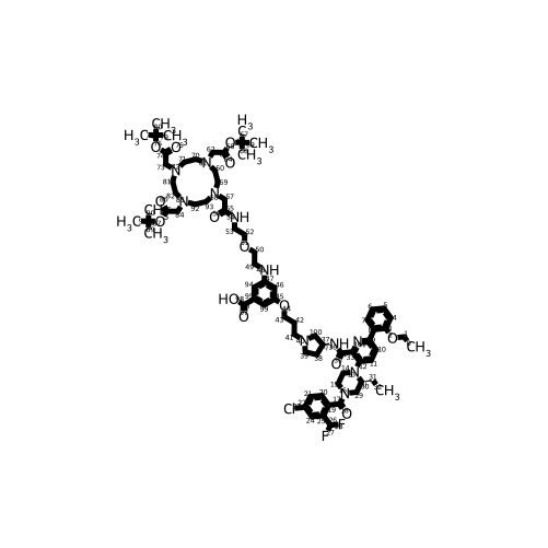 CCOc1ccccc1-c1ccc(N2CCN(C(=O)c3ccc(Cl)cc3C(F)F)C[C@H]2CC)c(C(=O)N[C@@H]2CCN(CCCOc3cc(NCCOCCNC(=O)CN4CCN(CC(=O)OC(C)(C)C)CCN(CC(=O)OC(C)(C)C)CCN(CC(=O)OC(C)(C)C)CC4)cc(C(=O)O)c3)C2)n1